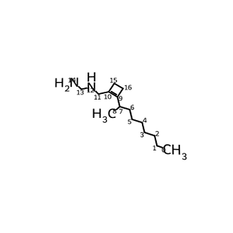 CCCCCCCC(C)C1=C(CNCN)CC1